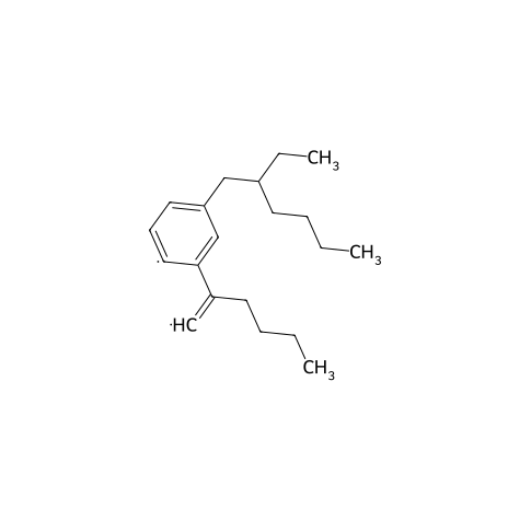 [CH]=C(CCCC)c1[c]ccc(CC(CC)CCCC)c1